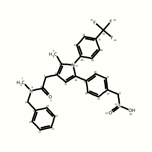 Cc1c(CC(=O)N(C)Cc2ccccc2)cc(-c2ccc(CS(=O)O)cc2)n1-c1ccc(C(F)(F)F)cc1